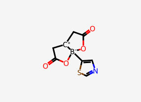 O=C1C[C+]2CC(=O)O[B-]2(c2cncs2)O1